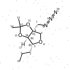 CCC[C@H]1OC[C@]2(CN=[N+]=[N-])OC(C)(C)O[C@H]12